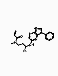 C=CC(=O)N(C)CCC(CC)Nc1cnc2[nH]cc(-c3ccccc3)c2n1